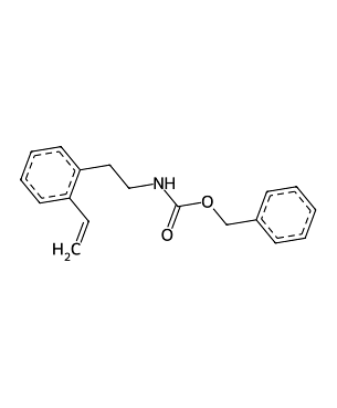 C=Cc1ccccc1CCNC(=O)OCc1ccccc1